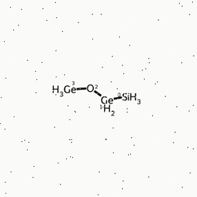 [SiH3][GeH2][O][GeH3]